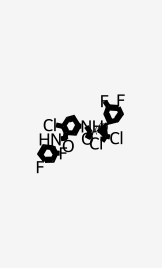 O=C(Nc1ccc(F)cc1F)c1cc(NC(=O)[C@@H]2[C@@H](c3ccc(F)c(F)c3)C2(Cl)Cl)ccc1Cl